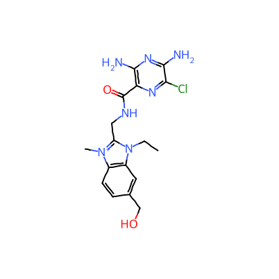 CCn1c(CNC(=O)c2nc(Cl)c(N)nc2N)[n+](C)c2ccc(CO)cc21